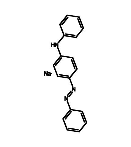 [Na].c1ccc(N=Nc2ccc(Nc3ccccc3)cc2)cc1